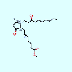 CCCCCCCC(=O)CC[C@H]1[C@@H](C)CC(=O)[C@@H]1C/C=C/CCCC(=O)OC